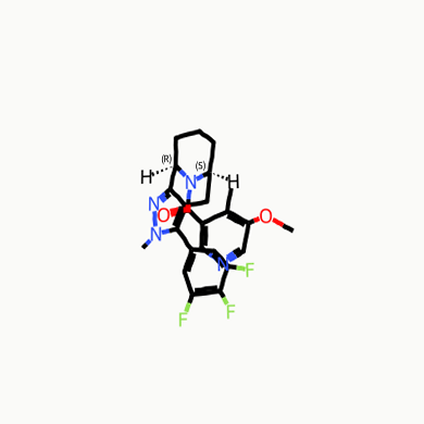 COc1cncc(C(=O)N2[C@H]3CCC[C@@H]2c2nn(C)c(-c4cc(F)c(F)c(F)c4)c2C3)c1C